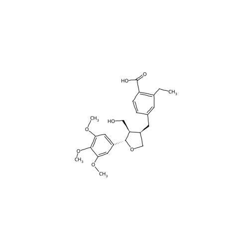 CCc1cc(C[C@H]2CO[C@H](c3cc(OC)c(OC)c(OC)c3)[C@H]2CO)ccc1C(=O)O